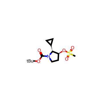 CC(C)(C)OC(=O)N1CC[C@H](OS(C)(=O)=O)[C@H]1C1CC1